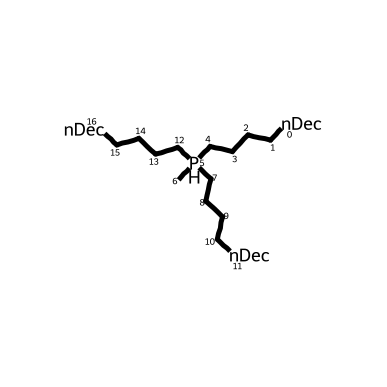 CCCCCCCCCCCCCC[PH](C)(CCCCCCCCCCCCCC)CCCCCCCCCCCCCC